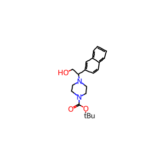 CC(C)(C)OC(=O)N1CCN(C(CO)c2ccc3ccccc3c2)CC1